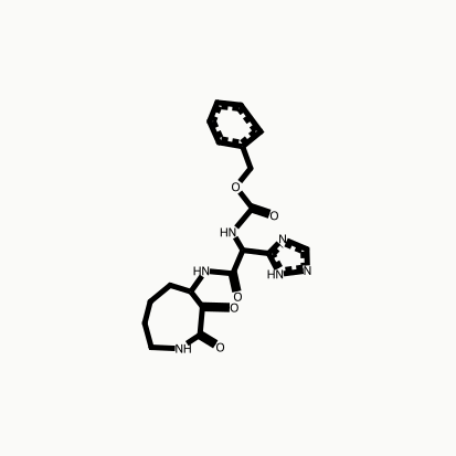 O=C(NC(C(=O)NC1CCCCNC(=O)C1=O)c1ncn[nH]1)OCc1ccccc1